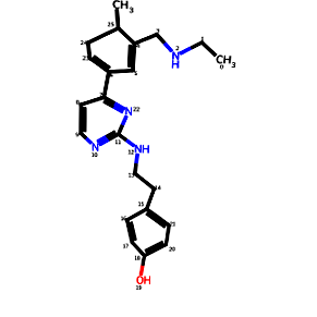 CCNCC1=CC(c2ccnc(NCCc3ccc(O)cc3)n2)=CCC1C